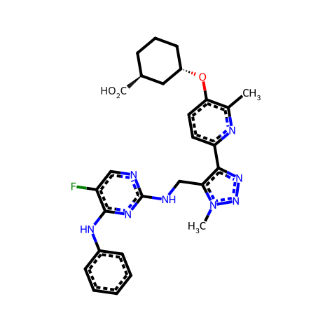 Cc1nc(-c2nnn(C)c2CNc2ncc(F)c(Nc3ccccc3)n2)ccc1O[C@H]1CCC[C@H](C(=O)O)C1